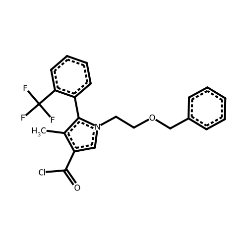 Cc1c(C(=O)Cl)cn(CCOCc2ccccc2)c1-c1ccccc1C(F)(F)F